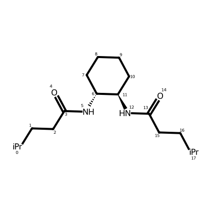 CC(C)CCC(=O)N[C@@H]1CCCC[C@H]1NC(=O)CCC(C)C